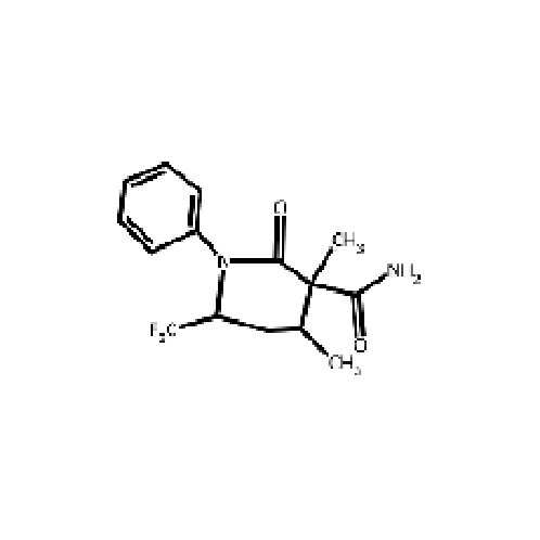 CC1CC(C(F)(F)F)N(c2ccccc2)C(=O)C1(C)C(N)=O